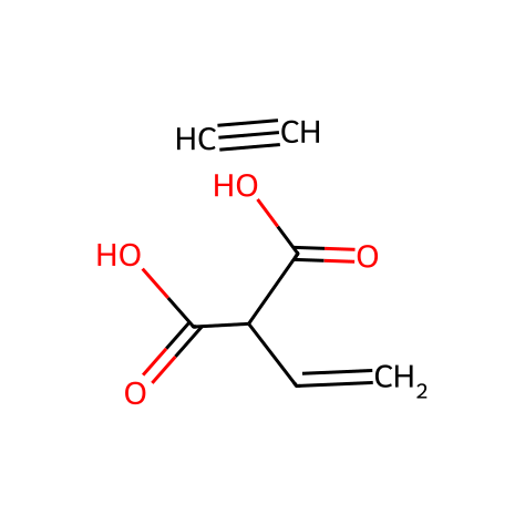 C#C.C=CC(C(=O)O)C(=O)O